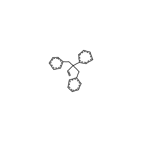 C=CC(Cc1ccccc1)(Cc1ccccc1)c1ccccc1